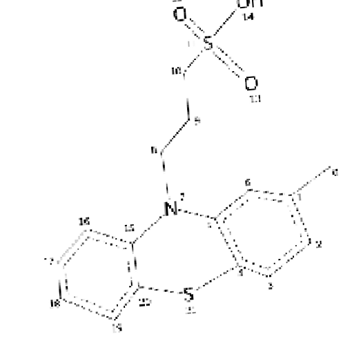 Cc1ccc2c(c1)N(CCCS(=O)(=O)O)c1ccccc1S2